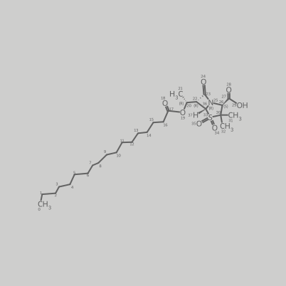 CCCCCCCCCCCCCCCCCC(=O)O[C@H](C)[C@@H]1C(=O)N2[C@@H](C(=O)O)C(C)(C)S(=O)(=O)[C@H]12